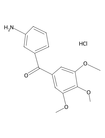 COc1cc(C(=O)c2cccc(N)c2)cc(OC)c1OC.Cl